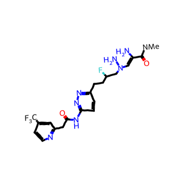 CNC(=O)/C(N)=C/N(N)CC(F)CCc1ccc(NC(=O)Cc2cc(C(F)(F)F)ccn2)nn1